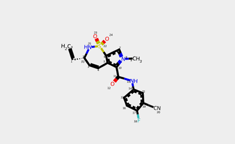 C=C[C@H]1C=Cc2c(cn(C)c2C(=O)Nc2ccc(F)c(C#N)c2)S(=O)(=O)N1